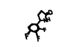 O=C1CCC(c2ccc(F)c(F)c2F)N1